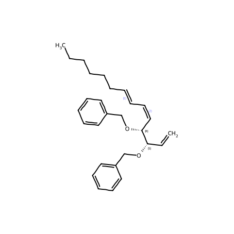 C=C[C@H](OCc1ccccc1)[C@@H](/C=C\C=C\CCCCCC)OCc1ccccc1